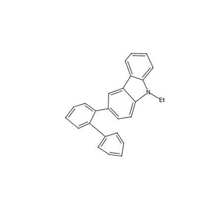 CCn1c2ccccc2c2cc(-c3ccccc3-c3ccccc3)ccc21